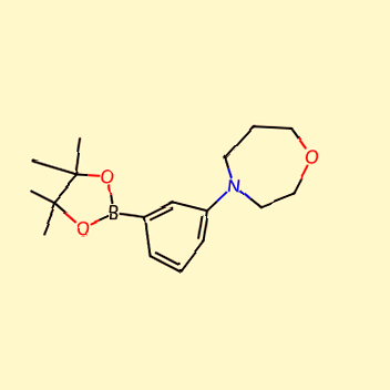 CC1(C)OB(c2cccc(N3CCCOCC3)c2)OC1(C)C